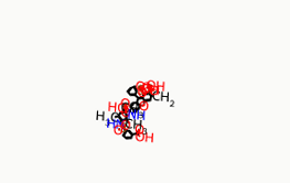 C=c1cc2c(cc1S(=O)(=O)O)=C(c1ccccc1S(=O)(=O)O)c1cc(S(=O)(=O)O)c(Nc3c(C)cc(C)c(NS(=O)(=O)c4cccc(C(=O)O)c4)c3C)cc1O2